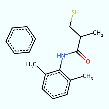 Cc1cccc(C)c1NC(=O)C(C)CS.c1ccccc1